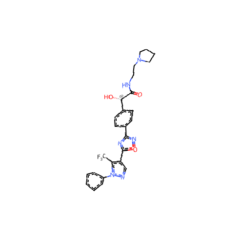 O=C(NCCN1CCCC1)[C@@H](O)c1ccc(-c2noc(-c3cnn(-c4ccccc4)c3C(F)(F)F)n2)cc1